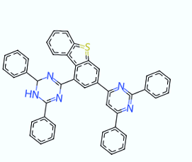 c1ccc(C2=NC(c3cc(-c4cc(-c5ccccc5)nc(-c5ccccc5)n4)cc4sc5ccccc5c34)=NC(c3ccccc3)N2)cc1